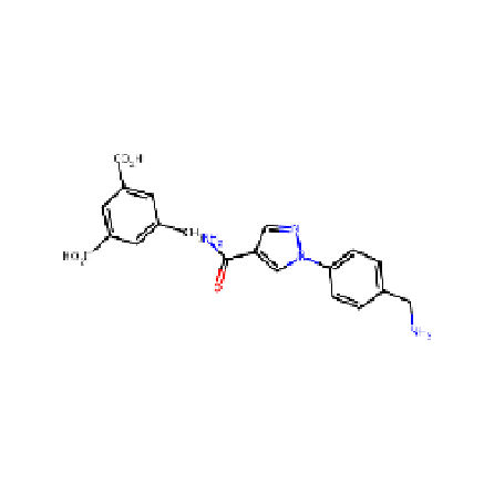 Cc1cc(C(=O)O)cc(C(=O)O)c1.NCc1ccc(-n2cc(C(N)=O)cn2)cc1